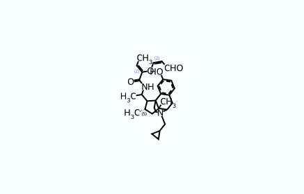 C/C=C(\O/C=C\C=O)C(=O)NC(C)C1[C@@H](C)CC2(C)C3Cc4ccc(O)cc4C12CCN3CC1CC1